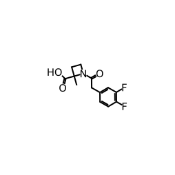 CC1(C(=O)O)CCN1C(=O)Cc1ccc(F)c(F)c1